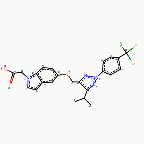 CC(C)c1nn(-c2ccc(C(F)(F)F)cc2)nc1CSc1ccc2c(ccn2CC(=O)O)c1